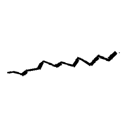 [CH]=CC=CC=CC=CC=CC=CCC